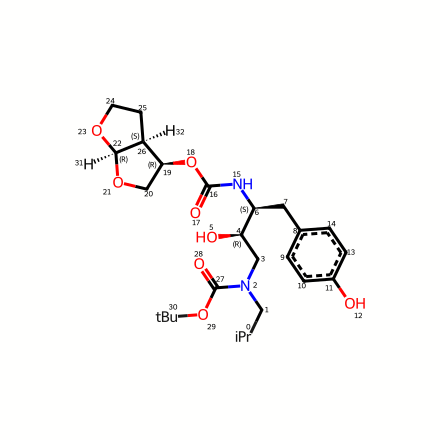 CC(C)CN(C[C@@H](O)[C@H](Cc1ccc(O)cc1)NC(=O)O[C@H]1CO[C@H]2OCC[C@H]21)C(=O)OC(C)(C)C